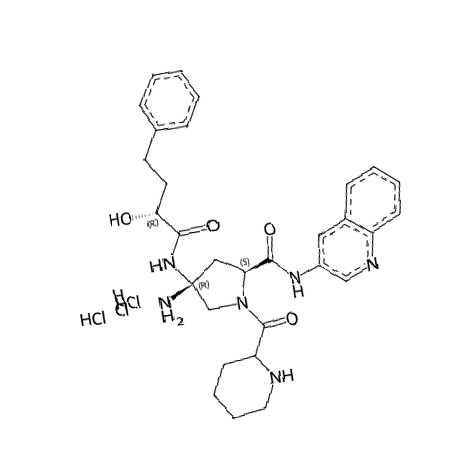 Cl.Cl.Cl.N[C@@]1(NC(=O)[C@H](O)CCc2ccccc2)C[C@@H](C(=O)Nc2cnc3ccccc3c2)N(C(=O)C2CCCCN2)C1